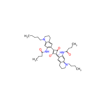 CCCCCN1CCCc2cc(C3=C([O-])/C(=c4\cc5c(cc4NC(=O)CCC)=[N+](CCCC)CCC5)C3=O)c(NC(=O)CCC)cc21